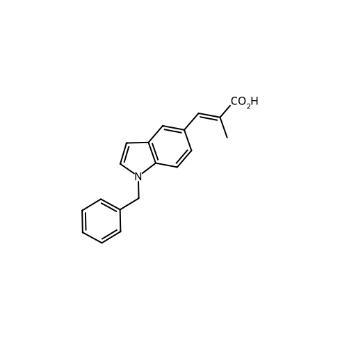 C/C(=C\c1ccc2c(ccn2Cc2ccccc2)c1)C(=O)O